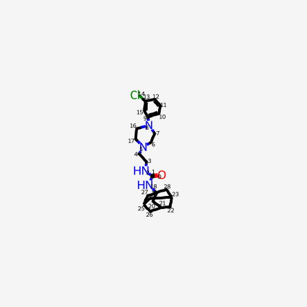 O=C(NCCN1CCN(c2cccc(Cl)c2)CC1)NC12CC3CC(CC(C3)C1)C2